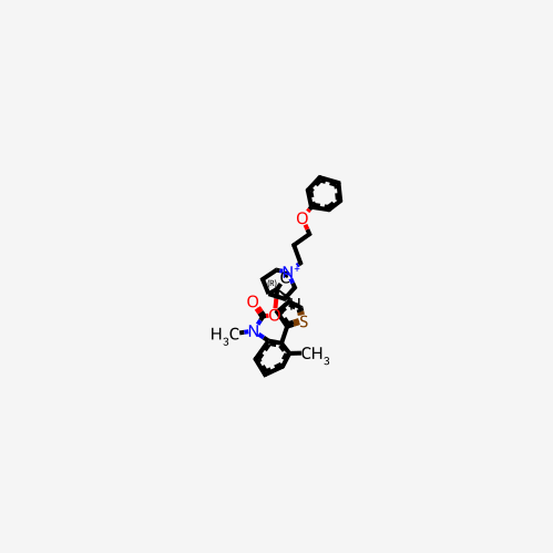 Cc1cccc(N(C)C(=O)O[C@H]2C[N+]3(CCCOc4ccccc4)CCC2CC3)c1-c1cccs1